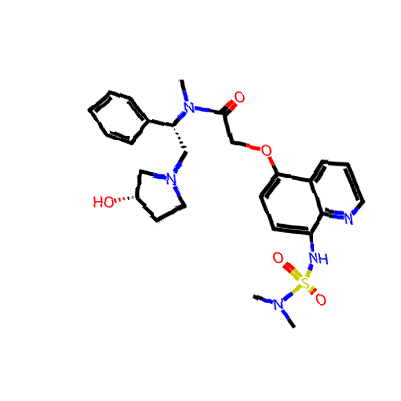 CN(C(=O)COc1ccc(NS(=O)(=O)N(C)C)c2ncccc12)[C@H](CN1CC[C@H](O)C1)c1ccccc1